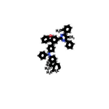 C/C=C\C1=C(CC)C(C)(C)c2cc(N(c3ccccc3)c3ccc(-c4cc(-c5nc(-c6ccccc6)c(C)c(-c6ccccc6C)n5)cc5oc6ccccc6c45)cc3)ccc21